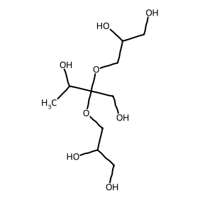 CC(O)C(CO)(OCC(O)CO)OCC(O)CO